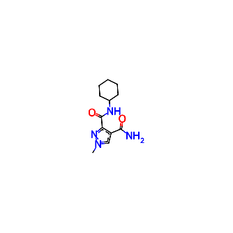 Cn1cc(C(N)=O)c(C(=O)NC2CCCCC2)n1